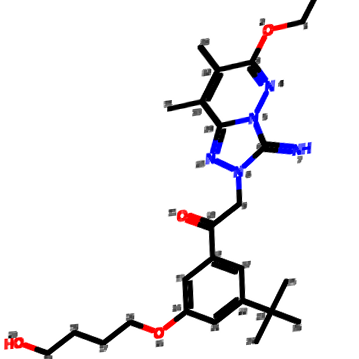 CCOc1nn2c(=N)n(CC(=O)c3cc(OCCCCO)cc(C(C)(C)C)c3)nc2c(C)c1C